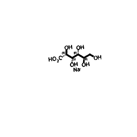 O=C(O)[C@H](O)[C@@H](O)[C@H](O)[C@H](O)CO.[Na]